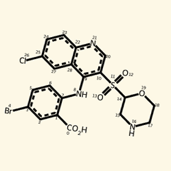 O=C(O)c1cc(Br)ccc1Nc1c(S(=O)(=O)C2CNCCO2)cnc2ccc(Cl)cc12